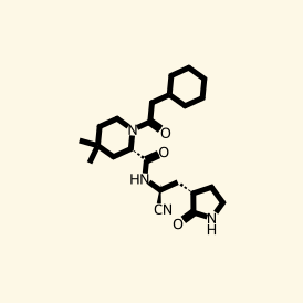 CC1(C)CCN(C(=O)CC2CCCCC2)[C@H](C(=O)N[C@H](C#N)C[C@@H]2CCNC2=O)C1